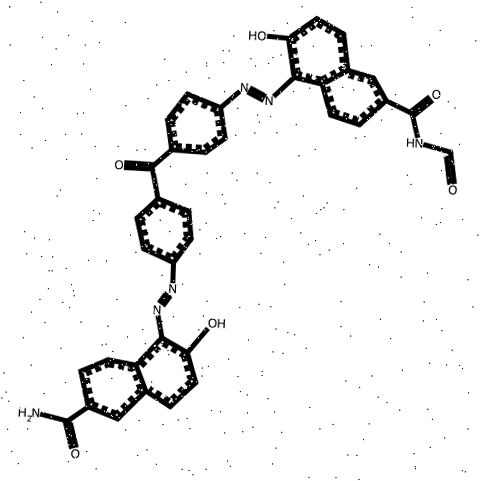 NC(=O)c1ccc2c(N=Nc3ccc(C(=O)c4ccc(N=Nc5c(O)ccc6cc(C(=O)NC=O)ccc56)cc4)cc3)c(O)ccc2c1